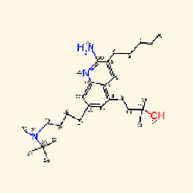 CCCCCc1cc2c(CCC(C)(C)O)cc(CCCCN(C)C(C)(C)C)cc2nc1N